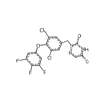 O=c1cnn(Cc2cc(Cl)c(Oc3cc(F)c(F)c(F)c3)c(Cl)c2)c(=O)[nH]1